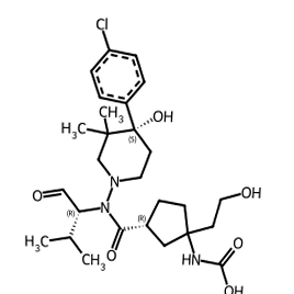 CC(C)[C@H](C=O)N(C(=O)[C@@H]1CCC(CCO)(NC(=O)O)C1)N1CC[C@](O)(c2ccc(Cl)cc2)C(C)(C)C1